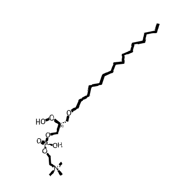 CCCCCCCCCCCCCCCCOC[C@H](CO[P@](=O)(O)OCC[N+](C)(C)C)OO